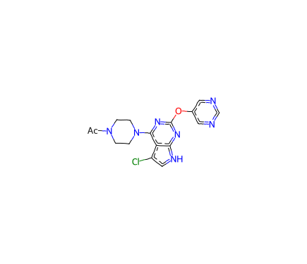 CC(=O)N1CCN(c2nc(Oc3cncnc3)nc3[nH]cc(Cl)c23)CC1